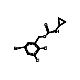 O=C(NC1CC1)OCc1cc(Br)cc(Cl)c1Cl